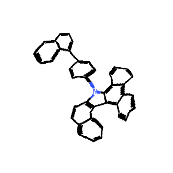 c1ccc2c(-c3ccc(-n4c5ccc6ccccc6c5c5c6ccccc6c6ccccc6c54)cc3)cccc2c1